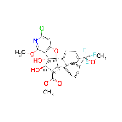 COCc1cccc([C@@H]2[C@@H](C(=O)OC)[C@@H](O)[C@@]3(O)c4c(cc(Cl)nc4OC)O[C@@]23c2ccc(C(F)(F)F)cc2)c1